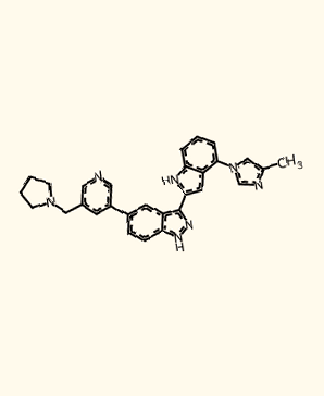 Cc1cn(-c2cccc3[nH]c(-c4n[nH]c5ccc(-c6cncc(CN7CCCC7)c6)cc45)cc23)cn1